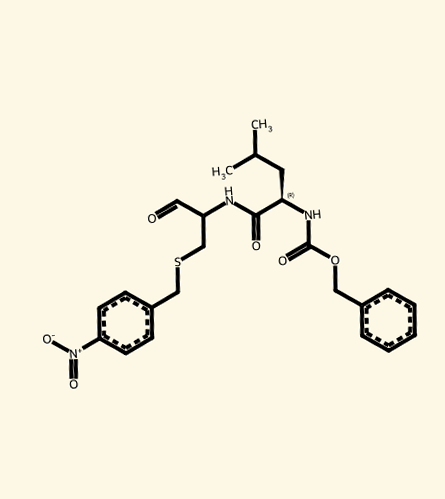 CC(C)C[C@@H](NC(=O)OCc1ccccc1)C(=O)NC(C=O)CSCc1ccc([N+](=O)[O-])cc1